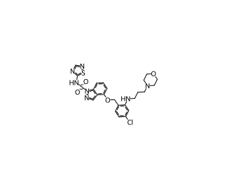 O=S(=O)(Nc1ncns1)n1ncc2c(OCc3ccc(Cl)cc3NCCCN3CCOCC3)cccc21